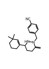 C=C1CCC(C2=CC(C)(C)CCC2)NN1Cc1ccc(C#N)cc1